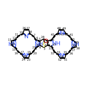 O=C1SC2c3c(c4cc5nc(cc6ccc(cc7nc(cc3[nH]4)C=C7)[nH]6)C=C5)C1c1c2c2cc3nc(cc4ccc(cc5nc(cc1[nH]2)C=C5)[nH]4)C=C3